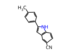 Cc1ccc(-c2cc3cc(C#N)ccc3[nH]2)cc1